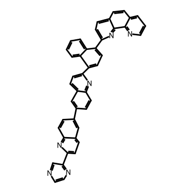 c1cnc2c(c1)ccc1ccc(-c3ccc(-c4ccc5cc(-c6ccc7nc(-c8cnccn8)ccc7c6)ccc5n4)c4ccccc34)nc12